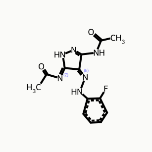 CC(=O)/N=C1\NN=C(NC(C)=O)\C1=N\Nc1ccccc1F